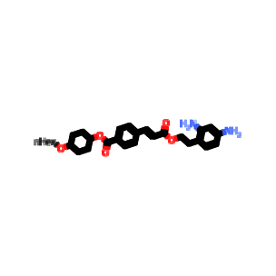 CCCCCCOC1CCC(OC(=O)c2ccc(/C=C/C(=O)OCCc3ccc(N)cc3N)cc2)CC1